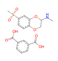 CNC1COc2ccc(S(C)(=O)=O)cc2O1.O=C(O)c1cccc(C(=O)O)c1